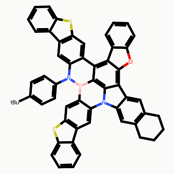 CC(C)(C)c1ccc(N2B3c4cc5sc6ccccc6c5cc4-n4c5cc6c(cc5c5c7oc8ccccc8c7c(c3c54)-c3cc4sc5ccccc5c4cc32)CCCC6)cc1